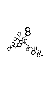 O=C(CCCn1c(COc2ccc3ccccc3c2)c(C(=O)N2CCCC2)c2cc(NC(=O)C3CCCC3)ccc21)Nc1cccc(C(=O)O)c1